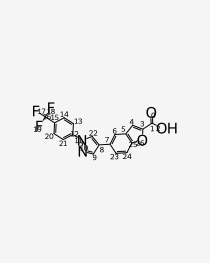 O=C(O)c1cc2cc(-c3cnn(-c4ccc(C(F)(F)F)cc4)c3)ccc2o1